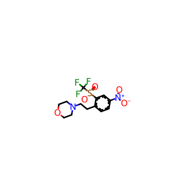 O=[N+]([O-])c1ccc(CCN2CCOCC2)c(S(=O)(=O)C(F)(F)F)c1